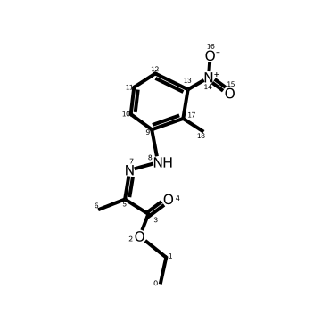 CCOC(=O)/C(C)=N\Nc1cccc([N+](=O)[O-])c1C